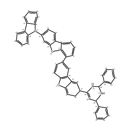 C1=c2oc3ccc(-c4cccc5c4oc4cc(-n6c7ccccc7c7ccccc76)ccc45)cc3c2=CC(C2=NC(c3ccccc3)NC(c3ccccc3)N2)C1